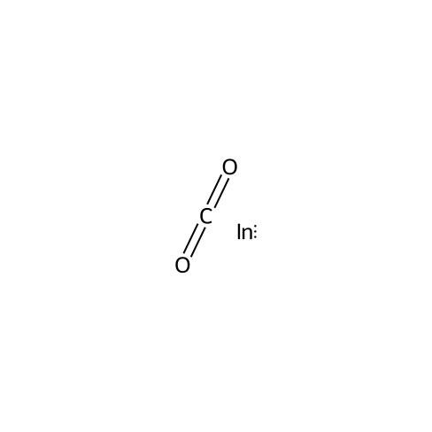 O=C=O.[In]